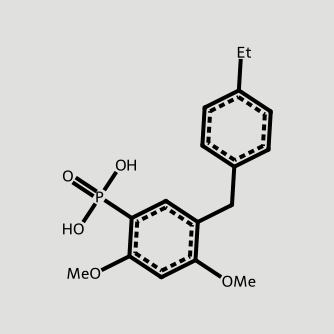 CCc1ccc(Cc2cc(P(=O)(O)O)c(OC)cc2OC)cc1